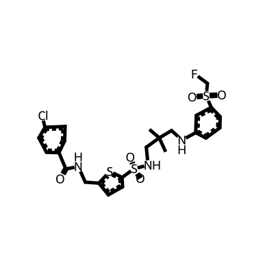 CC(C)(CNc1cccc(S(=O)(=O)CF)c1)CNS(=O)(=O)c1ccc(CNC(=O)c2ccc(Cl)cc2)s1